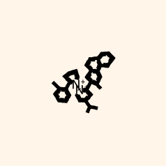 Cc1ccccc1-c1cccc[n+]1-[n+]1ccc(C(C)C)cc1-c1cc2ccc3ccccc3c2cc1C